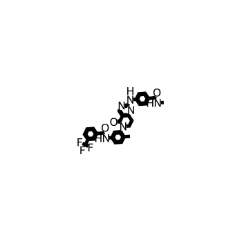 CNC(=O)c1ccc(Nc2ncc3c(n2)CCN(c2cc(NC(=O)c4cccc(C(F)(F)F)c4)ccc2C)C3=O)cc1